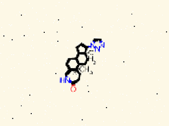 C[C@]12CCC(=O)NC=C1CCC1C2CC[C@]2(C)C(n3ccnn3)=CCC12